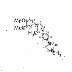 COc1ccc(N2C=CN(c3ccc(N4CCN(C)CC4)cc3)C2C)cc1OC